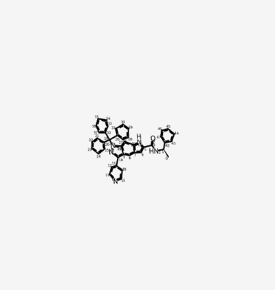 C[C@@H](NC(=O)c1cc2cc3c(-c4ccncc4)nn(C(c4ccccc4)(c4ccccc4)c4ccccc4)c3cc2[nH]1)c1ccccc1